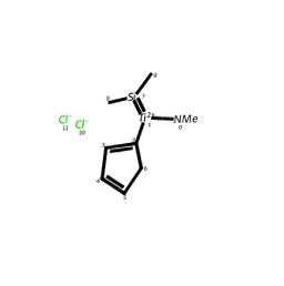 C[NH][Ti+2]([C]1=CC=CC1)=[Si](C)C.[Cl-].[Cl-]